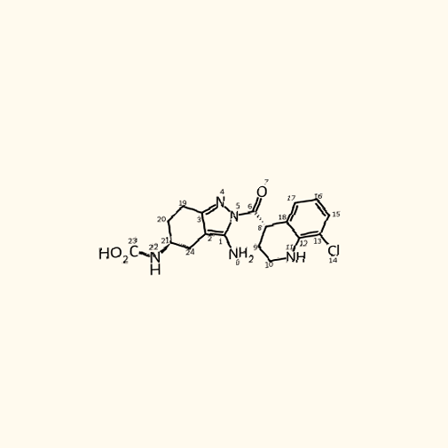 Nc1c2c(nn1C(=O)[C@H]1CCNc3c(Cl)cccc31)CC[C@H](NC(=O)O)C2